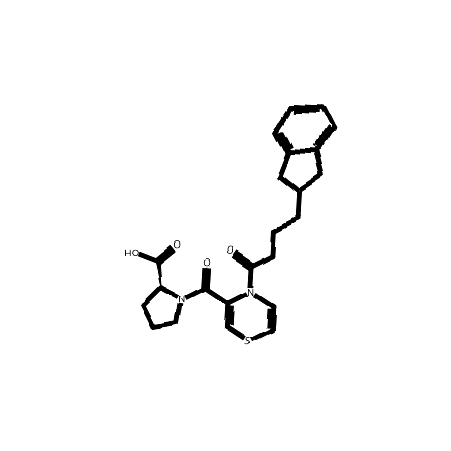 O=C(O)[C@@H]1CCCN1C(=O)C1=CSC=CN1C(=O)CCCC1Cc2ccccc2C1